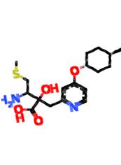 CSCC(N)C(O)(Cc1cc(O[C@H]2CC[C@H](C)CC2)ccn1)C(=O)O